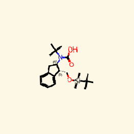 CC(C)(C)N(C(=O)O)[C@@H]1Cc2ccccc2[C@H]1CO[Si](C)(C)C(C)(C)C